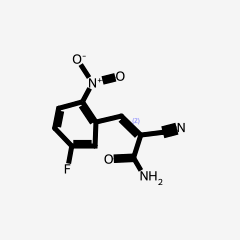 N#C/C(=C/c1cc(F)ccc1[N+](=O)[O-])C(N)=O